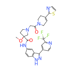 CO[C@@]1(C(=O)Nc2ccc3[nH]nc(-c4ccnc(C(F)(F)F)c4)c3c2)CCN(CC(=O)N2CC=C(c3nccs3)CC2)C1